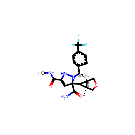 CNC(=O)C1=CC(C(N)=O)(C2[C@H]3COC[C@@H]23)N([C@@H](C)c2ccc(C(F)(F)F)cc2)N1